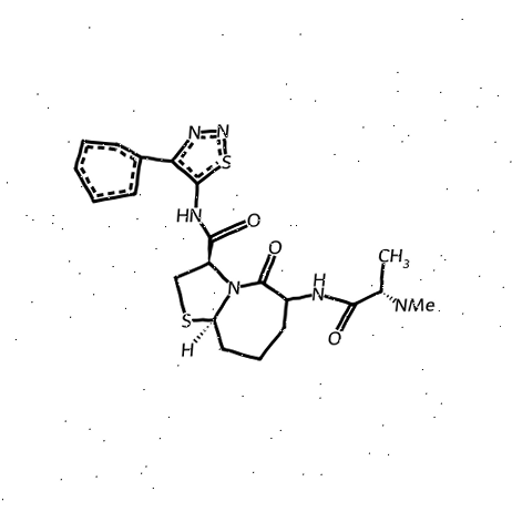 CN[C@@H](C)C(=O)NC1CCC[C@H]2SC[C@@H](C(=O)Nc3snnc3-c3ccccc3)N2C1=O